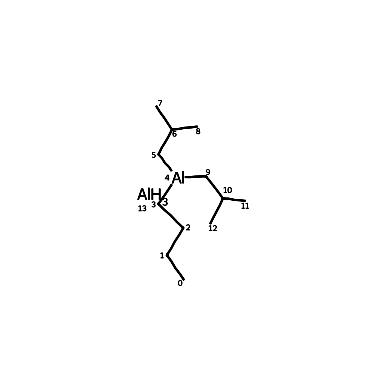 CCC[CH2][Al]([CH2]C(C)C)[CH2]C(C)C.[AlH3]